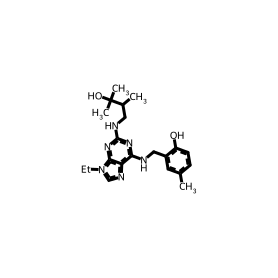 CCn1cnc2c(NCc3cc(C)ccc3O)nc(NCC(C)C(C)(C)O)nc21